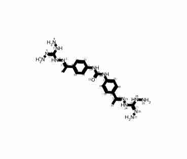 C/C(=N\N/C(=N\N)NN)c1ccc(NC(=O)Nc2ccc(/C(C)=N/N/C(=N\N)NN)cc2)cc1